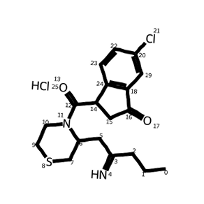 CCCC(=N)CC1CSCCN1C(=O)C1CC(=O)c2cc(Cl)ccc21.Cl